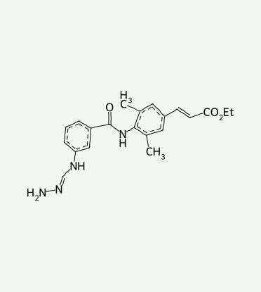 CCOC(=O)C=Cc1cc(C)c(NC(=O)c2cccc(NC=NN)c2)c(C)c1